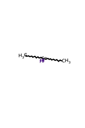 CCCCCCCCCCC[CH2][Sn][CH2]CCCCCCCCCCC.I.I